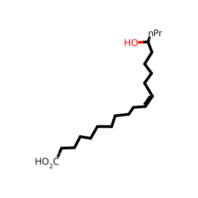 CCCC(O)CCCC/C=C\CCCCCCCCCC(=O)O